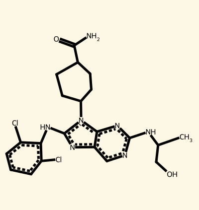 CC(CO)Nc1ncc2nc(Nc3c(Cl)cccc3Cl)n(C3CCC(C(N)=O)CC3)c2n1